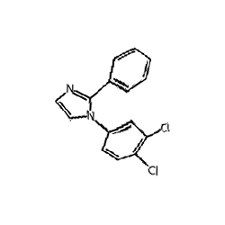 Clc1ccc(-n2[c]cnc2-c2ccccc2)cc1Cl